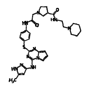 Cc1cc(Nc2nc(Sc3ccc(NC(=O)CN4CCC(C(=O)NCCN5CCCCC5)C4)cc3)nc3cccn23)n[nH]1